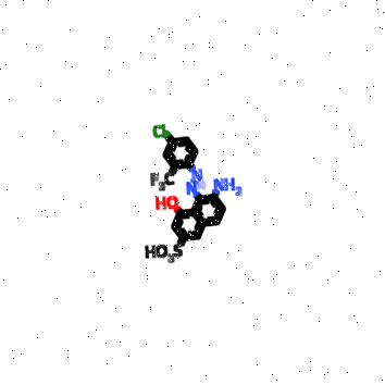 Nc1ccc2cc(S(=O)(=O)O)cc(O)c2c1/N=N/c1ccc(Cl)cc1C(F)(F)F